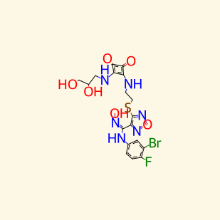 O=c1c(NCCSc2nonc2/C(=N\O)Nc2ccc(F)c(Br)c2)c(NCC(O)CO)c1=O